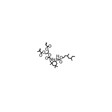 C=CC(=O)OCC(COC(=O)C(=C)C)OC(=O)NCC1(C)CC(NC(=O)OCCC(C)CC(C)CC)CC(C)(C)C1